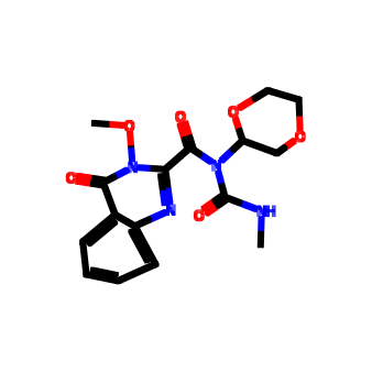 CNC(=O)N(C(=O)c1nc2ccccc2c(=O)n1OC)C1COCCO1